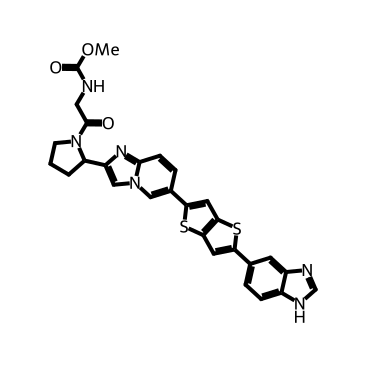 COC(=O)NCC(=O)N1CCCC1c1cn2cc(-c3cc4sc(-c5ccc6[nH]cnc6c5)cc4s3)ccc2n1